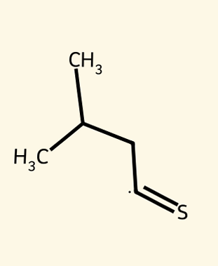 CC(C)C[C]=S